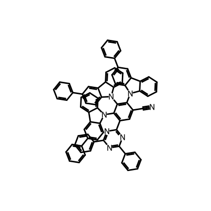 N#Cc1cc(-c2nc(-c3ccccc3)nc(-c3ccccc3)n2)c(-n2c3ccccc3c3cc(-c4ccccc4)ccc32)c(-n2c3ccccc3c3cc(-c4ccccc4)ccc32)c1-n1c2ccccc2c2cc(-c3ccccc3)ccc21